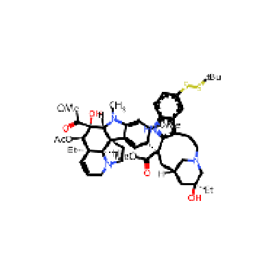 CC[C@]1(O)C[C@H]2CN(CCc3c([nH]c4ccc(SSC(C)(C)C)cc34)[C@@](C(=O)OC)(C3C=C4C(=CC3OC)N(C)[C@H]3[C@@](O)(C(=O)OC)[C@H](OC(C)=O)[C@]5(CC)C=CCN6CC[C@]43[C@@H]65)C2)C1